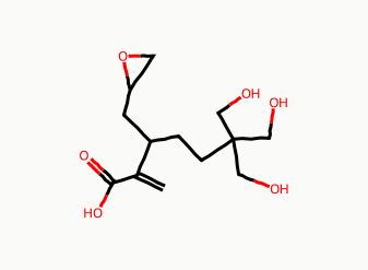 C=C(C(=O)O)C(CCC(CO)(CO)CO)CC1CO1